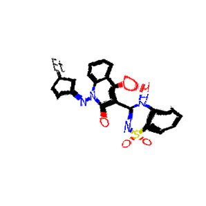 CCC1CCC(=Nn2c(=O)c(C3=NS(=O)(=O)c4ccccc4N3)c(O)c3ccccc32)C1